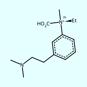 CC[N@+](C)(C(=O)O)c1cccc(CCN(C)C)c1